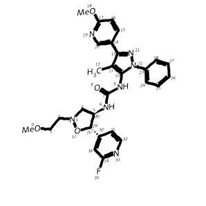 COCCN1C[C@@H](NC(=O)Nc2c(C)c(-c3ccc(OC)nc3)nn2-c2ccccc2)[C@H](c2ccnc(F)c2)O1